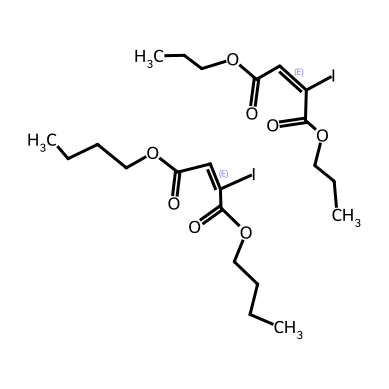 CCCCOC(=O)/C=C(/I)C(=O)OCCCC.CCCOC(=O)/C=C(/I)C(=O)OCCC